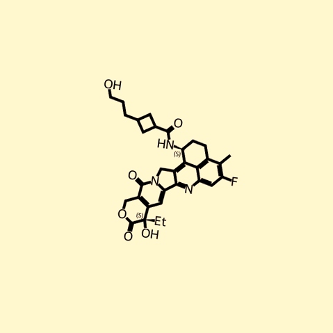 CC[C@@]1(O)C(=O)OCc2c1cc1n(c2=O)Cc2c-1nc1cc(F)c(C)c3c1c2[C@@H](NC(=O)C1CC(CCCO)C1)CC3